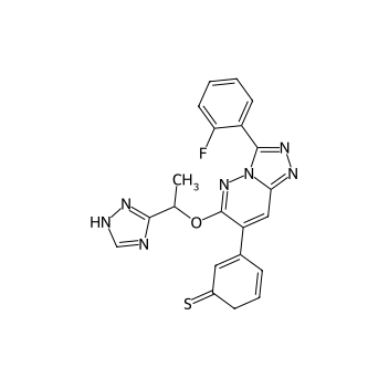 CC(Oc1nn2c(-c3ccccc3F)nnc2cc1C1=CC(=S)CC=C1)c1nc[nH]n1